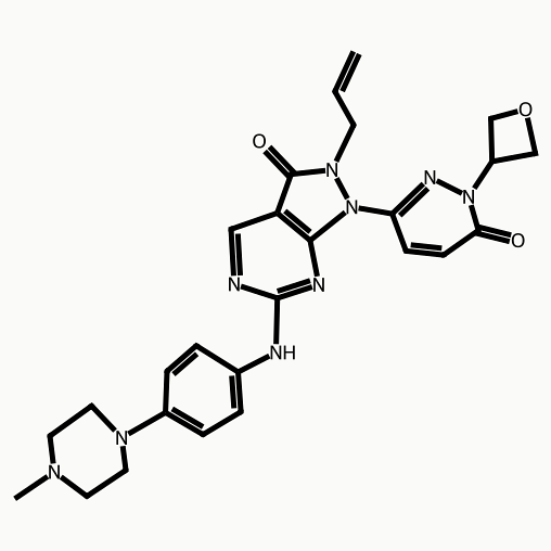 C=CCn1c(=O)c2cnc(Nc3ccc(N4CCN(C)CC4)cc3)nc2n1-c1ccc(=O)n(C2COC2)n1